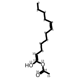 CCCC/C=C\CCCC/C=C(/O)OC(C)=O